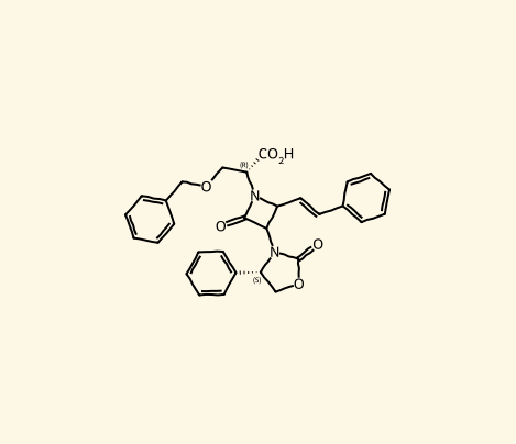 O=C(O)[C@@H](COCc1ccccc1)N1C(=O)C(N2C(=O)OC[C@@H]2c2ccccc2)C1C=Cc1ccccc1